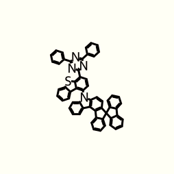 c1ccc(-c2nc(-c3ccccc3)nc(-c3ccc(-n4c5ccccc5c5c6c(ccc54)C4(c5ccccc5-c5ccccc54)c4ccccc4-6)c4c3sc3ccccc34)n2)cc1